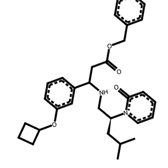 CC(C)C[C@@H](CNC(CC(=O)OCc1ccccc1)c1cccc(OC2CCC2)c1)n1ccccc1=O